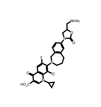 CC(=O)NCC1CN(c2ccc3c(c2)CCCN(c2c(F)cc4c(=O)c(C(=O)O)cn(C5CC5)c4c2Cl)C3)C(=O)O1